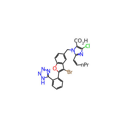 CCC/C=C\c1nc(Cl)c(C(=O)O)n1Cc1ccc2oc(-c3ccccc3-c3nnn[nH]3)c(Br)c2c1